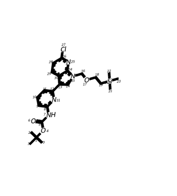 CC(C)(C)OC(=O)Nc1cccc(-c2cn(COCC[Si](C)(C)C)c3nc(Cl)ccc23)n1